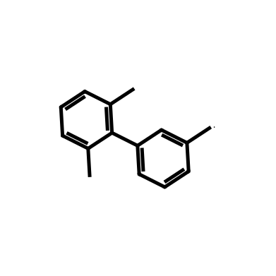 [CH2]c1cccc(-c2c(C)cccc2C)c1